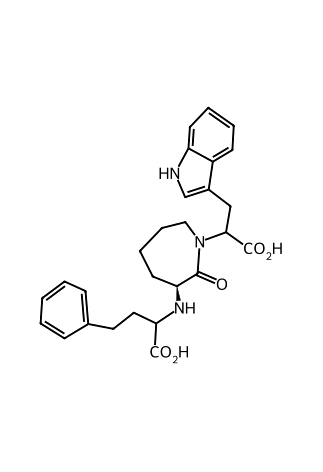 O=C(O)C(CCc1ccccc1)N[C@H]1CCCCN(C(Cc2c[nH]c3ccccc23)C(=O)O)C1=O